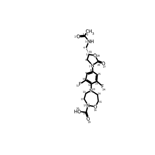 CC(=O)NC[C@H]1CN(c2cc(F)c(N3CCON(C(=O)O)CC3)c(F)c2)C(=O)O1